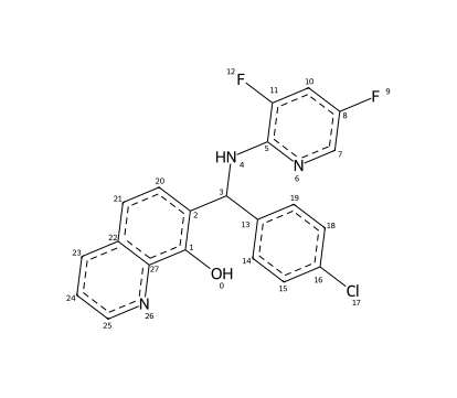 Oc1c(C(Nc2ncc(F)cc2F)c2ccc(Cl)cc2)ccc2cccnc12